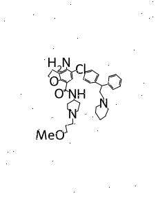 COCCCN1CCC(NC(=O)c2cc(Cl)c(N)c3c2OCC3)CC1.c1ccc(C(CCN2CCCCC2)c2ccccc2)cc1